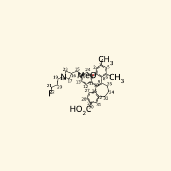 COc1cc(C)cc(C)c1C1=C(c2ccc(CC3CN(CCCF)C3)cc2)c2ccc(C(=O)O)cc2CCC1